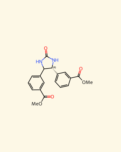 COC(=O)c1cccc(C2NC(=O)N[C@@H]2c2cccc(C(=O)OC)c2)c1